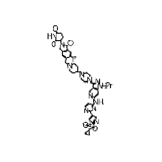 CC(C)n1nc(N2CCN(C3CCN(Cc4cc5c(cc4F)C(=O)N(C4CCC(=O)NC4=O)C5)CC3)CC2)c2cnc(Nc3ccnc(-c4cnn(S(=O)(=O)C5CC5)c4)n3)cc21